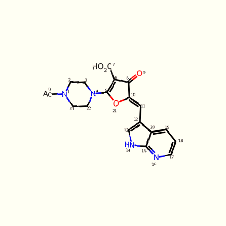 CC(=O)N1CCN(C2=C(C(=O)O)C(=O)C(=Cc3c[nH]c4ncccc34)O2)CC1